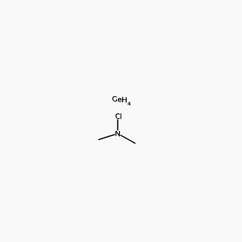 CN(C)Cl.[GeH4]